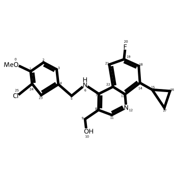 COc1ccc(CNc2c(CO)cnc3c(C4CC4)cc(F)cc23)cc1Cl